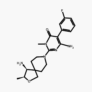 C[C@@H]1OCC2(CCN(c3nc(N)c(-c4cccc(F)c4)c(=O)n3C)CC2)[C@@H]1N